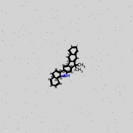 CC1(C)c2cc3ccccc3cc2-c2cc3c(cc21)[nH]c1c2ccccc2ccc31